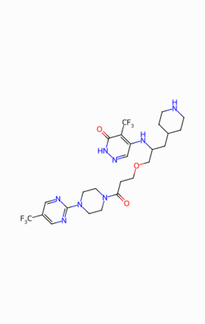 O=C(CCOCC(CC1CCNCC1)Nc1cn[nH]c(=O)c1C(F)(F)F)N1CCN(c2ncc(C(F)(F)F)cn2)CC1